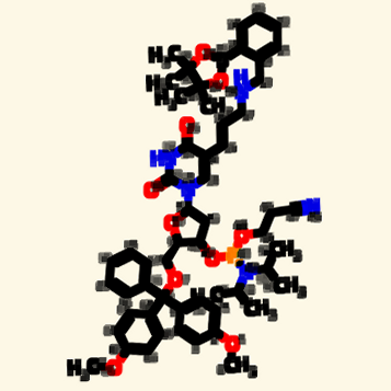 COc1ccc(C(OC[C@H]2O[C@@H](n3cc(/C=C/CNCc4ccccc4B4OC(C)(C)C(C)(C)O4)c(=O)[nH]c3=O)CC2OP(OCCC#N)N(C(C)C)C(C)C)(c2ccccc2)c2ccc(OC)cc2)cc1